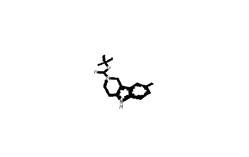 Cc1ccc2[nH]c3c(c2c1)CN(C(=O)OC(C)(C)C)CC3